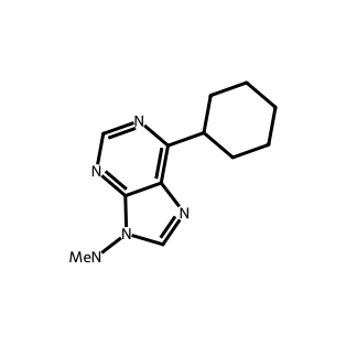 CNn1cnc2c(C3CCCCC3)ncnc21